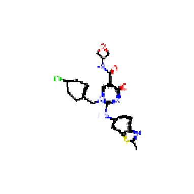 Cc1nc2ccc(Nc3nc(=O)c(C(=O)NC4COC4)cn3CC3=CCC(Cl)CC3)cc2s1